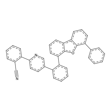 N#Cc1ccccc1-c1ccc(-c2ccccc2-c2cccc3c2oc2c(-c4ccccc4)cccc23)cn1